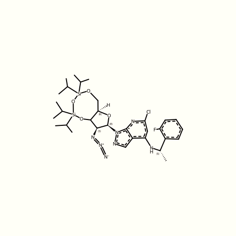 CC(C)[Si]1(C(C)C)OC[C@H]2O[C@@H](n3ncc4c(N[C@@H](C)c5ccccc5F)cc(Cl)nc43)[C@@H](N=[N+]=[N-])C2O[Si](C(C)C)(C(C)C)O1